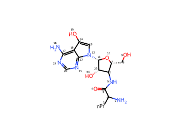 CCCC(N)C(=O)NC1[C@@H](CO)O[C@@H](n2cc(O)c3c(N)ncnc32)[C@H]1O